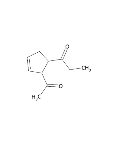 CCC(=O)C1CC=CC1C(C)=O